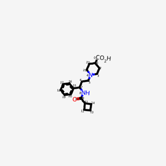 O=C(O)C1CCN(CCC(NC(=O)C2CCC2)c2ccccc2)CC1